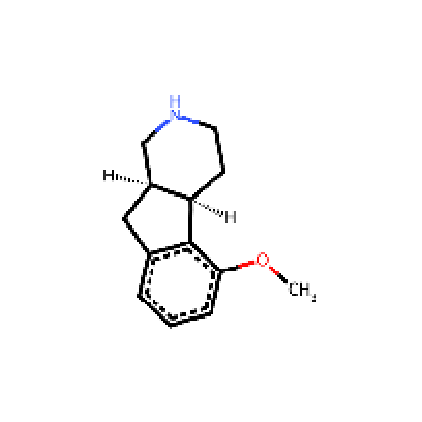 COc1cccc2c1[C@@H]1CCNC[C@@H]1C2